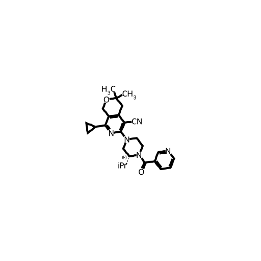 CC(C)[C@@H]1CN(c2nc(C3CC3)c3c(c2C#N)CC(C)(C)OC3)CCN1C(=O)c1cccnc1